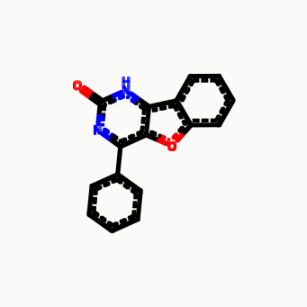 O=c1nc(-c2ccccc2)c2oc3ccccc3c2[nH]1